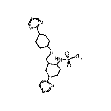 CS(=O)(=O)NC1CCN(c2ccccn2)CC1COC1CCC(c2ncccn2)CC1